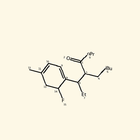 CCCC(=O)C(CC(C)CC)C(CC)C1=CC=C(C)CC1F